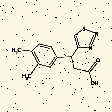 Cc1ccc(C(CC(=O)O)c2csnn2)cc1C